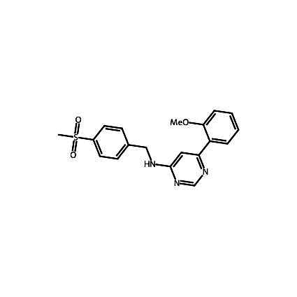 COc1ccccc1-c1cc(NCc2ccc(S(C)(=O)=O)cc2)ncn1